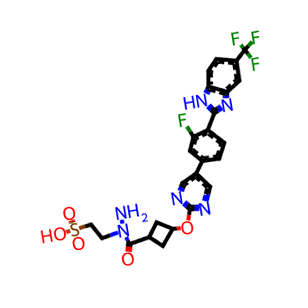 NN(CCS(=O)(=O)O)C(=O)C1CC(Oc2ncc(-c3ccc(-c4nc5cc(C(F)(F)F)ccc5[nH]4)c(F)c3)cn2)C1